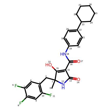 CC1(Cc2cc(F)c(F)cc2F)NC(=O)C(C(=O)Nc2ccc(C3CCCCC3)cc2)=C1O